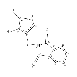 Cc1ccc(CN2C(=O)c3ccccc3C2=O)n1C